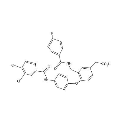 O=C(O)Cc1ccc(Oc2ccc(NC(=O)c3ccc(Cl)c(Cl)c3)cc2)c(CNC(=O)c2ccc(F)cc2)c1